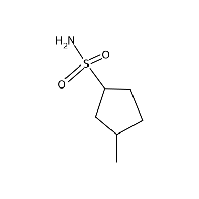 CC1CCC(S(N)(=O)=O)C1